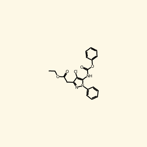 CCOC(=O)Cc1nn(-c2ccccc2)c(NC(=O)Oc2ccccc2)c1Cl